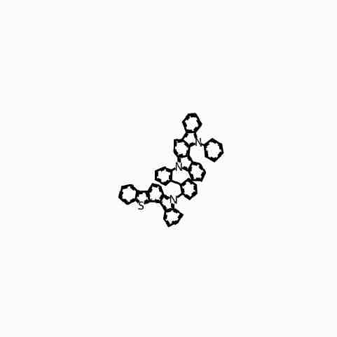 c1ccc(-n2c3ccccc3c3ccc4c(c5ccccc5n4-c4ccccc4-c4ccccc4-n4c5ccccc5c5c6sc7ccccc7c6ccc54)c32)cc1